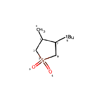 CC1CS(=O)(=O)CC1C(C)(C)C